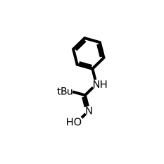 CC(C)(C)/C(=N\O)Nc1ccccc1